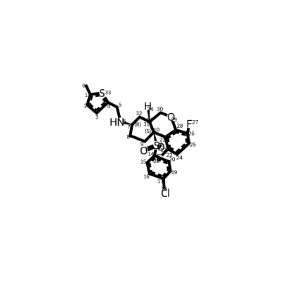 Cc1ccc(CN[C@@H]2CC[C@@]3(S(=O)(=O)c4ccc(Cl)cc4)c4c(F)ccc(F)c4OC[C@H]3C2)s1